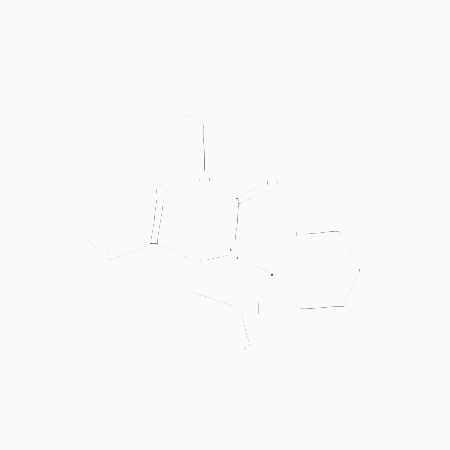 C=CC(=O)ON(C(=O)OCC)C1([SiH](C)C)CCCCO1